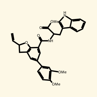 C=CC1Cc2cc(-c3ccc(OC)c(OC)c3)cc(C(=O)NC(Cc3c[nH]c4ccccc34)C(=O)OC)c2O1